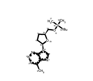 Cc1nnnc2c1ncn2[C@H]1CC[C@@H](CO[Si](C)(C)C(C)(C)C)O1